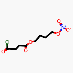 O=C(Cl)CCC(=O)OCCCCO[N+](=O)[O-]